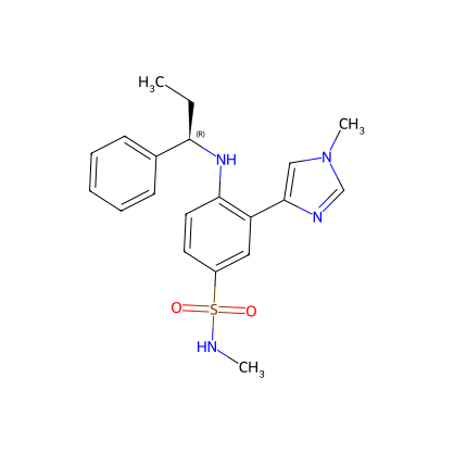 CC[C@@H](Nc1ccc(S(=O)(=O)NC)cc1-c1cn(C)cn1)c1ccccc1